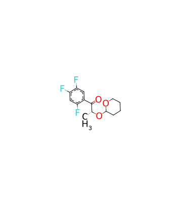 C[C@@H](OC1CCCCO1)C(=O)c1cc(F)c(F)cc1F